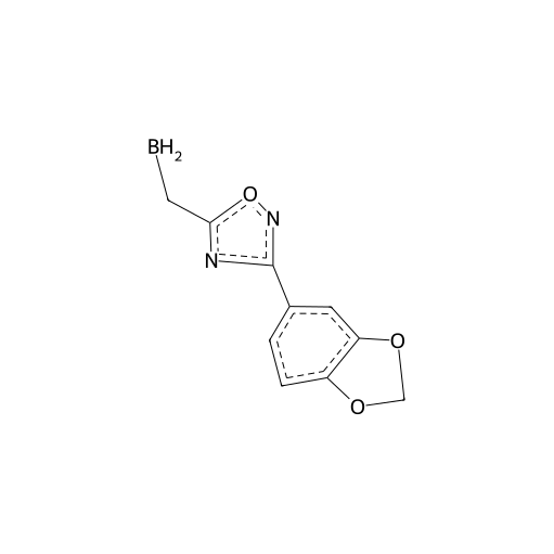 BCc1nc(-c2ccc3c(c2)OCO3)no1